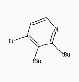 CCc1ccnc(C(C)(C)C)c1C(C)(C)C